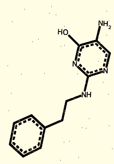 Nc1cnc(NCCc2ccccc2)nc1O